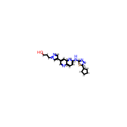 OCCCn1cc(-c2cnc3ccc(Nc4nnc(C5CCCC5)s4)nc3c2)cn1